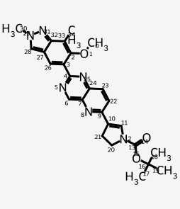 COc1c(-c2ncc3nc(C4=CN(C(=O)OC(C)(C)C)CC4)ccc3n2)cc2cn(C)nc2c1C